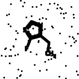 CCc1ccsc1F